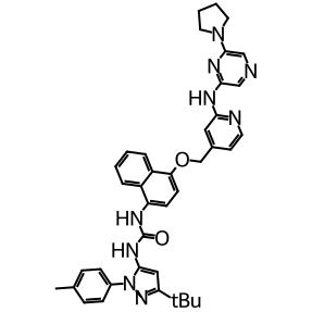 Cc1ccc(-n2nc(C(C)(C)C)cc2NC(=O)Nc2ccc(OCc3ccnc(Nc4cncc(N5CCCC5)n4)c3)c3ccccc23)cc1